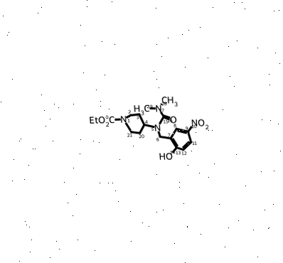 CCOC(=O)N1CCC(N(Cc2cc([N+](=O)[O-])ccc2O)C(=O)N(C)C)CC1